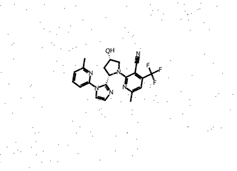 Cc1cccc(-n2ccnc2[C@@H]2C[C@H](O)CN2c2nc(C)cc(C(F)(F)F)c2C#N)n1